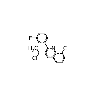 CC(Cl)c1cc2cccc(Cl)c2nc1-c1cccc(F)c1